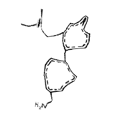 CN(C)Cc1ccccc1-c1ccc(N)cc1